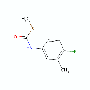 CSC(=O)Nc1ccc(F)c(C)c1